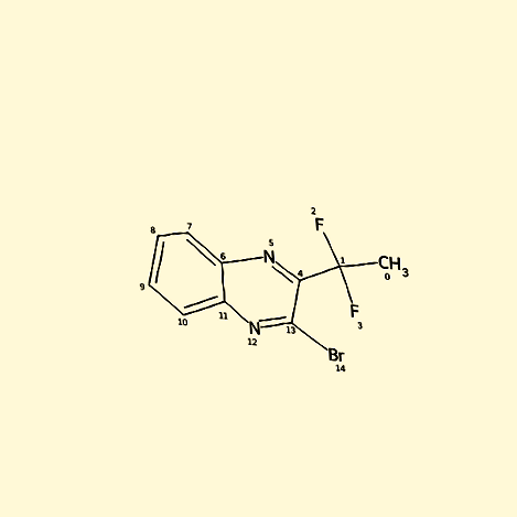 CC(F)(F)c1nc2ccccc2nc1Br